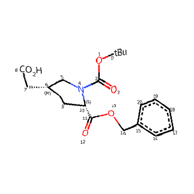 CC(C)(C)OC(=O)N1C[C@@H](CC(=O)O)C[C@H]1C(=O)OCc1ccccc1